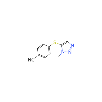 Cn1nncc1Sc1ccc(C#N)cc1